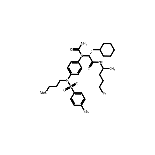 CSCCCN(c1ccc(N(C(N)=O)[C@H](CC2CCCCC2)C(=O)NC(C)CCCC(C)C)cc1)S(=O)(=O)c1ccc(C(C)(C)C)cc1